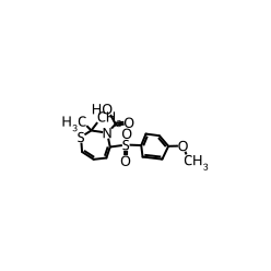 COc1ccc(S(=O)(=O)C2=CC=CSC(C)(C)N2C(=O)O)cc1